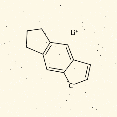 [Li+].c1cc2cc3c(cc2[cH-]1)CCC3